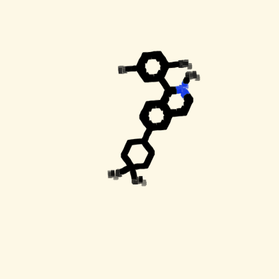 CCc1ccc(C)c(-c2c3ccc(C4CCC(C)(C)CC4)cc3cc[n+]2C)c1